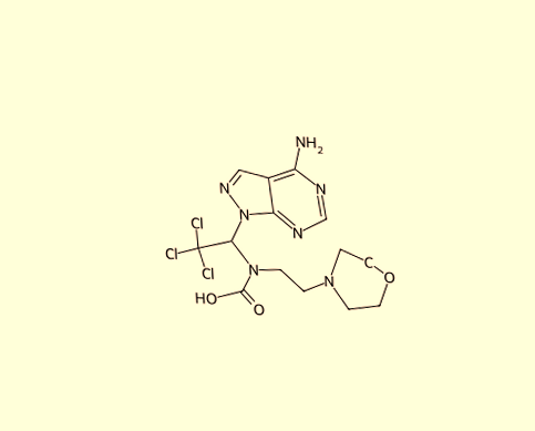 Nc1ncnc2c1cnn2C(N(CCN1CCOCC1)C(=O)O)C(Cl)(Cl)Cl